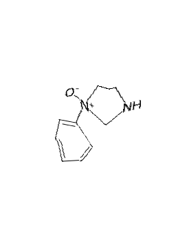 [O-][N+]1(c2ccccc2)CCNC1